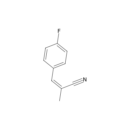 C/C(C#N)=C/c1ccc(F)cc1